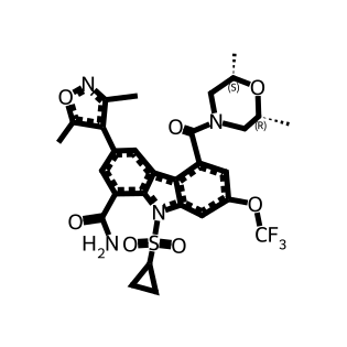 Cc1noc(C)c1-c1cc(C(N)=O)c2c(c1)c1c(C(=O)N3C[C@@H](C)O[C@@H](C)C3)cc(OC(F)(F)F)cc1n2S(=O)(=O)C1CC1